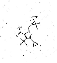 O=C(O)c1c(C(F)(F)F)c(C2CC2)nn1CC1C(F)(F)C12CC2